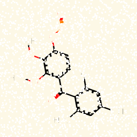 COc1c(OP=O)ccc(C(=O)c2c(C)cc(C)cc2C)c1OC